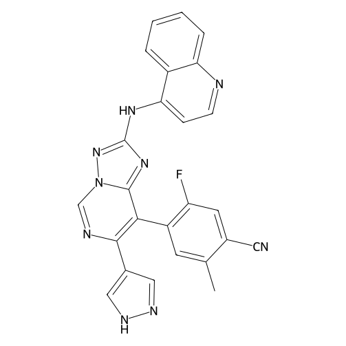 Cc1cc(-c2c(-c3cn[nH]c3)ncn3nc(Nc4ccnc5ccccc45)nc23)c(F)cc1C#N